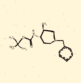 C[C@H]1CN(Cc2ccccc2)CC[C@@H]1NC(=O)OC(C)(C)C